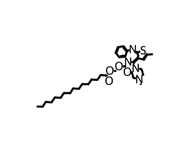 CCCCCCCCCCCCCCCC(=O)OCOC(=O)N1C(N2CCN(C)CC2)=c2cc(C)sc2=Nc2ccccc21